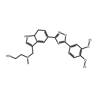 CCOc1ccc(-c2nc(C3=CCC4NC=C(CN(C)CCO)C4=C3)no2)cc1OCC